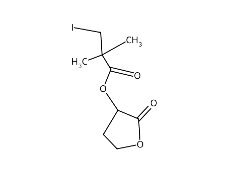 CC(C)(CI)C(=O)OC1CCOC1=O